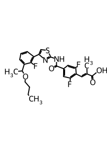 CCCCOC(C)c1cccc(-c2csc(NC(=O)c3cc(F)c(C=C(C)C(=O)O)c(F)c3)n2)c1F